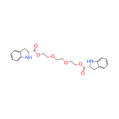 O=C(OCCOCCOCCOC(=O)[C@H]1Cc2ccccc2N1)[C@H]1Cc2ccccc2N1